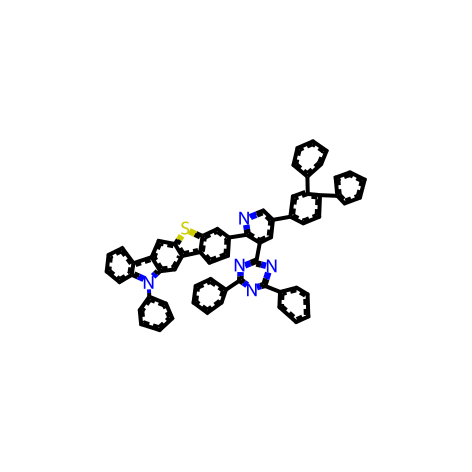 c1ccc(-c2nc(-c3ccccc3)nc(-c3cc(-c4ccc(-c5ccccc5)c(-c5ccccc5)c4)cnc3-c3ccc4c(c3)sc3cc5c6ccccc6n(-c6ccccc6)c5cc34)n2)cc1